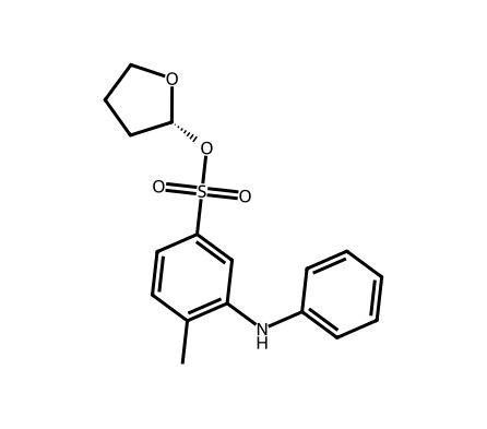 Cc1ccc(S(=O)(=O)O[C@@H]2CCCO2)cc1Nc1ccccc1